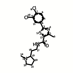 Cc1nc(-c2ccc(Cl)c(Cl)c2)sc1C(=O)NCCC1CCCN1C